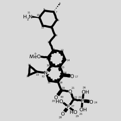 COc1c(CCC2C[C@@H](C)C[C@H](N)C2)ccc2c(=O)c(C(=O)OC(P(=O)(O)O)P(=O)(O)O)cn(C3CC3)c12